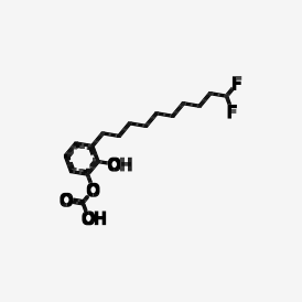 O=C(O)Oc1cccc(CCCCCCCCCC(F)F)c1O